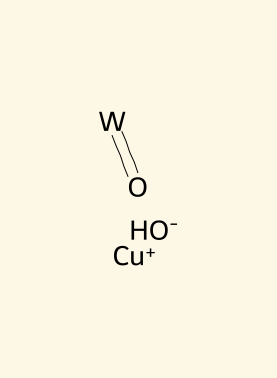 [Cu+].[OH-].[O]=[W]